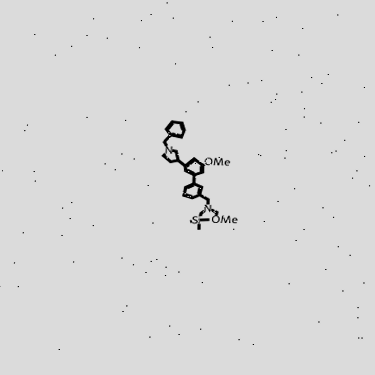 COCN(Cc1cccc(-c2cc(OC)cc(C3CCN(Cc4ccccc4)C3)c2)c1)C[Si](C)(C)C